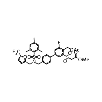 COC(=O)CS(=O)(=O)c1cc(-c2ccc(CN(Cc3ccc(C(F)(F)F)o3)S(=O)(=O)c3c(C)cc(C)cc3C)cc2)cc(F)c1COC(C)=O